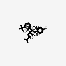 CO[PH](=O)C(C=CC(C)C)(C(=O)O)C(O)(Cc1ccc(F)cc1)c1cccc(C(C)(C)C)n1